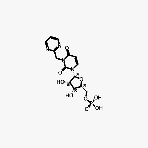 O=c1ccn([C@@H]2O[C@H](COP(=O)(O)O)[C@H](O)[C@@H]2O)c(=O)n1Cc1ncccn1